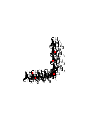 CCCC[P+](C)(CCCC)CCCC.CCCC[P+](C)(CCCC)CCCC.CCCC[P+](C)(CCCC)CCCC.CCCC[P+](C)(CCCC)CCCC.CCCC[P+](C)(CCCC)CCCC.CCCC[P+](C)(CCCC)CCCC.CCCC[P+](C)(CCCC)CCCC.CCCC[P+](C)(CCCC)CCCC.[O-]B([O-])F.[O-]B([O-])F.[O-]B([O-])F.[O-]B([O-])F